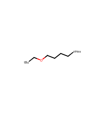 CCCCCCCCC[CH]OCC(C)(C)C